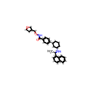 C[C@@H](N[C@H]1CCC[C@H](c2ccc(C(=O)NOCC3CCOC3)cc2)C1)c1cccc2ccccc12